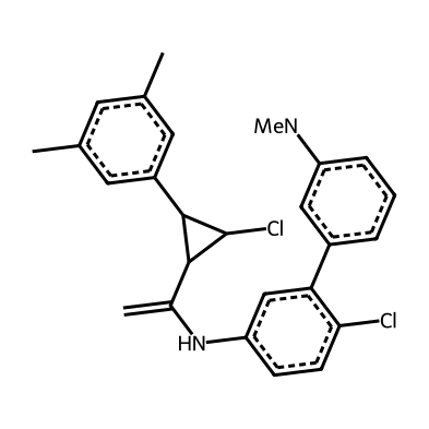 C=C(Nc1ccc(Cl)c(-c2cccc(NC)c2)c1)C1C(Cl)C1c1cc(C)cc(C)c1